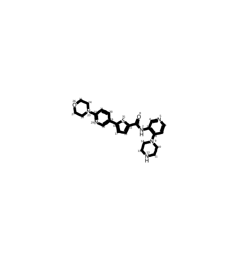 O=C(Nc1cnccc1N1CCNCC1)c1ccc(-c2ccc(N3CCOCC3)nc2)s1